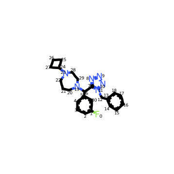 Fc1cccc(C(c2nnnn2Cc2ccccc2)N2CCCN(C3CCC3)CC2)c1